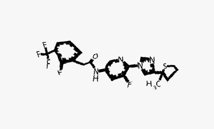 CC1(c2cn(-c3ncc(NC(=O)Cc4cccc(C(F)(F)F)c4F)cc3F)cn2)CCCS1